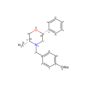 COc1ccc(CN2C[C@@H](c3ccccc3)OC[C@H]2C)cc1